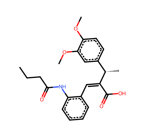 CCCC(=O)Nc1ccccc1C=C(C(=O)O)[C@@H](C)c1ccc(OC)c(OC)c1